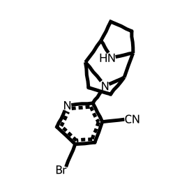 N#Cc1cc(Br)cnc1N1C2CCC1C1CCC2N1